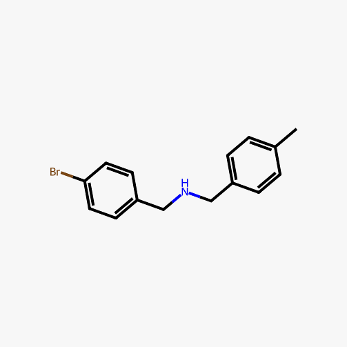 Cc1ccc(CNCc2ccc(Br)cc2)cc1